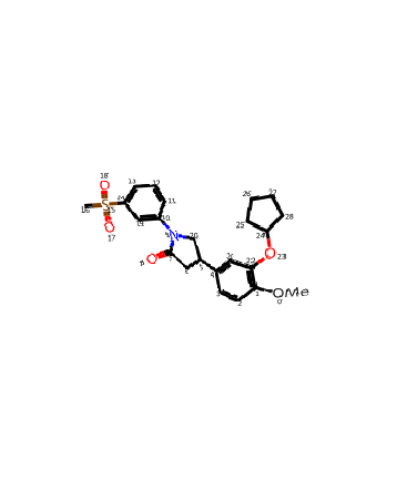 COc1ccc(C2CC(=O)N(c3cccc(S(C)(=O)=O)c3)C2)cc1OC1CCCC1